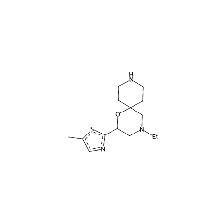 CCN1CC(c2ncc(C)s2)OC2(CCNCC2)C1